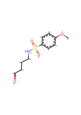 COc1ccc(S(=O)(=O)NCCC[C]=O)cc1